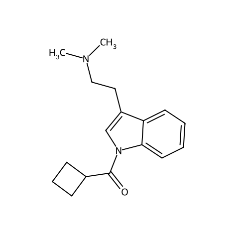 CN(C)CCc1cn(C(=O)C2CCC2)c2ccccc12